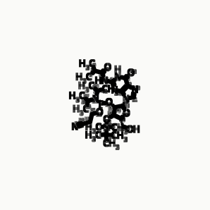 CC(C)C(=O)Nc1nc2c(ncn2[C@@H]2O[C@H](CO)C(O[Si](C)(C)C(C)(C)C)[C@H]2OP(OCCC#N)N(C(C)C)C(C)C)c(=O)[nH]1